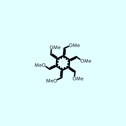 COC=c1c(=COC)c(=COC)c(=COC)c(=COC)c1=COC